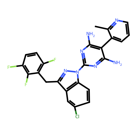 Cc1ncccc1-c1c(N)nc(-n2nc(Cc3c(F)ccc(F)c3F)c3cc(Cl)ccc32)nc1N